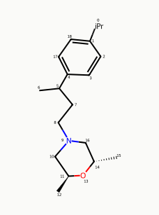 CC(C)c1ccc(C(C)CCN2C[C@H](C)O[C@@H](C)C2)cc1